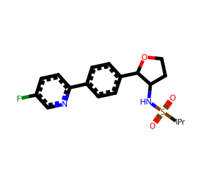 CC(C)S(=O)(=O)NC1CCOC1c1ccc(-c2ccc(F)cn2)cc1